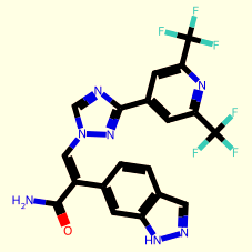 NC(=O)/C(=C/n1cnc(-c2cc(C(F)(F)F)nc(C(F)(F)F)c2)n1)c1ccc2cn[nH]c2c1